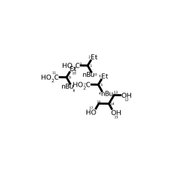 CCCCC(CC)C(=O)O.CCCCC(CC)C(=O)O.CCCCC(CC)C(=O)O.OCC(O)CO